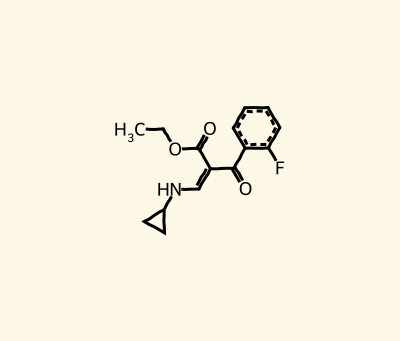 CCOC(=O)C(=CNC1CC1)C(=O)c1ccccc1F